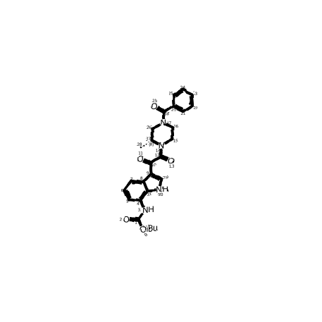 CC(C)COC(=O)Nc1cccc2c(C(=O)C(=O)N3CCN(C(=O)c4ccccc4)C[C@H]3C)c[nH]c12